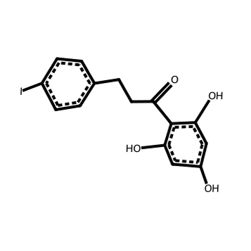 O=C(CCc1ccc(I)cc1)c1c(O)cc(O)cc1O